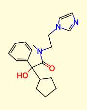 CN(CCn1ccnc1)C(=O)C(O)(c1ccccc1)C1CCCC1